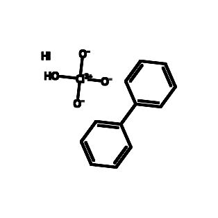 I.[O-][Cl+3]([O-])([O-])O.c1ccc(-c2ccccc2)cc1